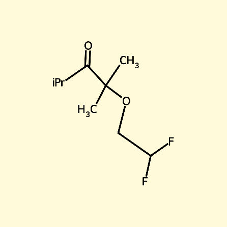 CC(C)C(=O)C(C)(C)OCC(F)F